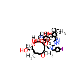 CC[C@H]1OC(=O)C[C@@H](O)[C@H](C)[C@@H](O[C@@H]2O[C@H](C)[C@@H](O)C(N(C)C)C2O)[C@@H](CCN(CCn2cc(-c3cc(C)c(C)cc3C)nn2)Cc2ccc(I)cc2)C[C@@H](C)C(=O)/C=C/C(C)=C/[C@@H]1CCO